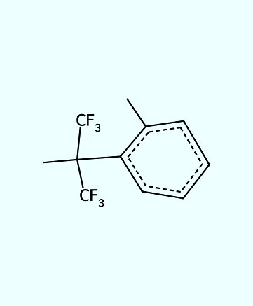 Cc1ccccc1C(C)(C(F)(F)F)C(F)(F)F